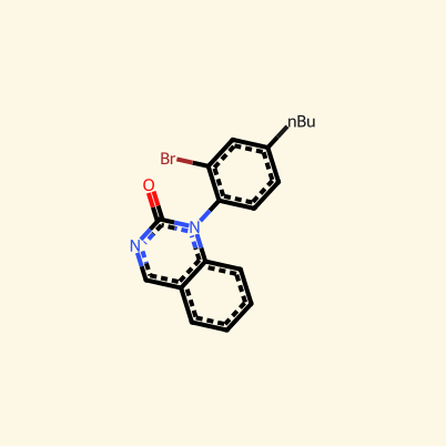 CCCCc1ccc(-n2c(=O)ncc3ccccc32)c(Br)c1